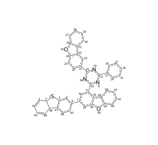 C1=CC2Sc3cc(-c4cc(-c5nc(-c6ccccc6)nc(-c6ccc7oc8ccccc8c7c6)n5)c5c(c4)oc4ccccc45)ccc3C2C=C1